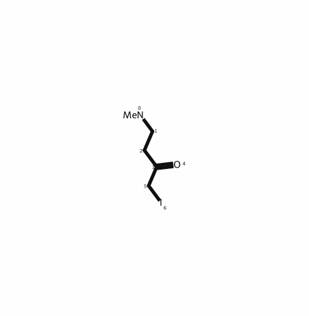 CNCCC(=O)CI